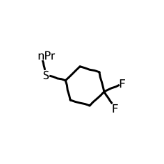 [CH2]CCSC1CCC(F)(F)CC1